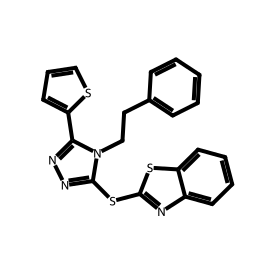 c1ccc(CCn2c(Sc3nc4ccccc4s3)nnc2-c2cccs2)cc1